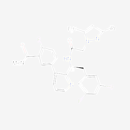 CNC(=O)c1cc(-c2cccnc2[C@H](Cc2cc(F)cc(F)c2)NC(=O)Cn2nc(C(C)C)cc2C(F)(F)F)ccc1F